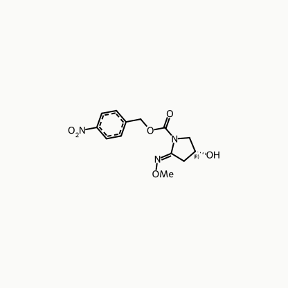 CON=C1C[C@@H](O)CN1C(=O)OCc1ccc([N+](=O)[O-])cc1